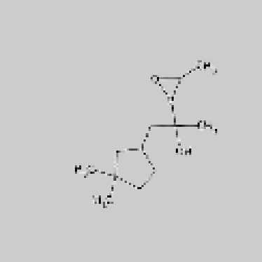 CC1OP1C(C)(O)CC1CCC(C)(C)C1